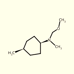 COCN(C)[C@H]1CC[C@@H](C)CC1